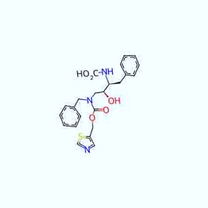 O=C(O)N[C@@H](Cc1ccccc1)[C@@H](O)CN(Cc1ccccc1)C(=O)OCc1cncs1